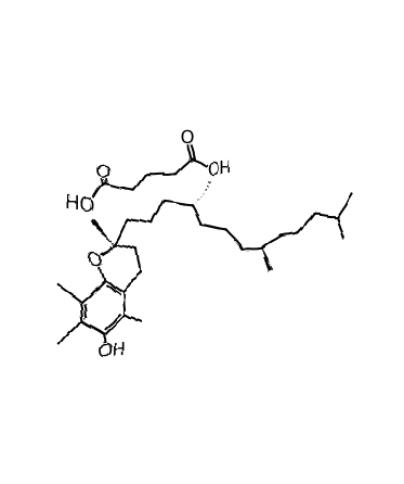 Cc1c(C)c2c(c(C)c1O)CC[C@@](C)(CCC[C@H](C)CCC[C@H](C)CCCC(C)C)O2.O=C(O)CCCC(=O)O